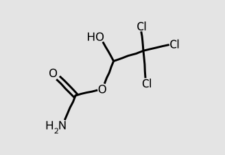 NC(=O)OC(O)C(Cl)(Cl)Cl